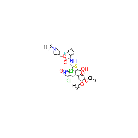 COc1ccc([C@H](Cc2c(Cl)c[n+]([O-])cc2Cl)c2cc(CNC(C(=O)OCC3CCN(C)CC3)c3ccccc3F)sc2C(=O)O)cc1OC